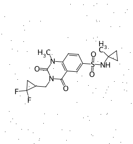 Cn1c(=O)n(CC2CC2(F)F)c(=O)c2cc(S(=O)(=O)NC3(C)CC3)ccc21